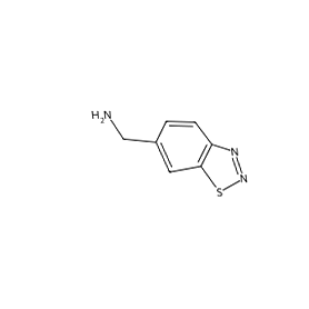 NCc1ccc2nnsc2c1